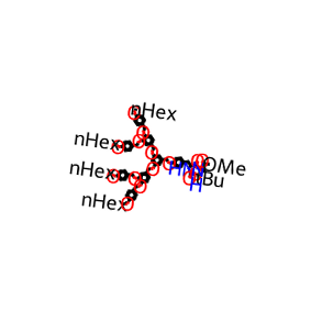 CCCCCCOc1ccc(COc2ccc(COc3cc(COc4ccc(CC(NC(=O)OC(C)(C)C)C(=O)NC(C)C(=O)OC)cc4)cc(OCc4ccc(OCc5ccc(OCCCCCC)cc5)c(OCc5ccc(OCCCCCC)cc5)c4)c3)cc2OCc2ccc(OCCCCCC)cc2)cc1